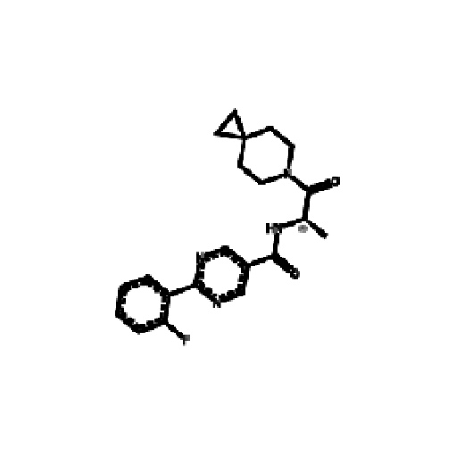 C[C@@H](NC(=O)c1cnc(-c2ccccc2F)nc1)C(=O)N1CCC2(CC1)CC2